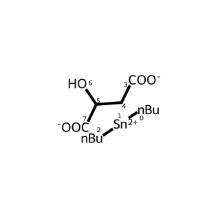 CCC[CH2][Sn+2][CH2]CCC.O=C([O-])CC(O)C(=O)[O-]